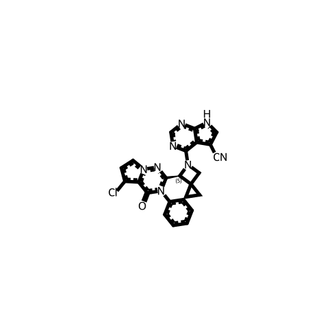 N#Cc1c[nH]c2ncnc(N3CC4(CC4)[C@H]3c3nn4ccc(Cl)c4c(=O)n3-c3ccccc3)c12